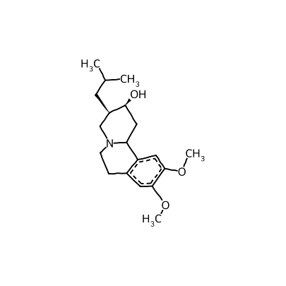 COc1cc2c(cc1OC)C1C[C@H](O)[C@H](CC(C)C)CN1CC2